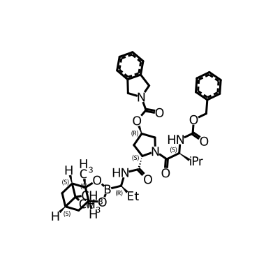 CC[C@H](NC(=O)[C@@H]1C[C@@H](OC(=O)N2Cc3ccccc3C2)CN1C(=O)[C@@H](NC(=O)OCc1ccccc1)C(C)C)B1O[C@@H]2C[C@@H]3C[C@@H](C3(C)C)[C@]2(C)O1